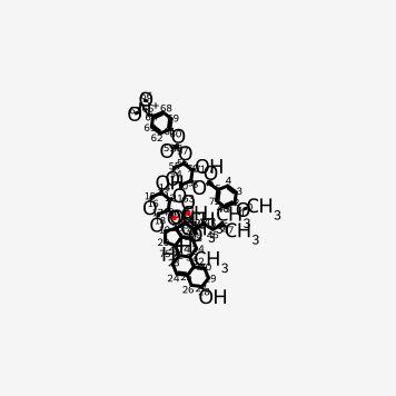 COc1ccc(C(=O)OC2C(OC3C(O)COC(O[C@H]4C[C@H]5[C@@H]6CC=C7C[C@@H](O)CC[C@]7(C)C6CC[C@]5(C)[C@@]4(O)[C@H](C)C(=O)CCC(C)C)C3OC(C)=O)OCC(OC(=O)Oc3ccc([N+](=O)[O-])cc3)C2O)cc1